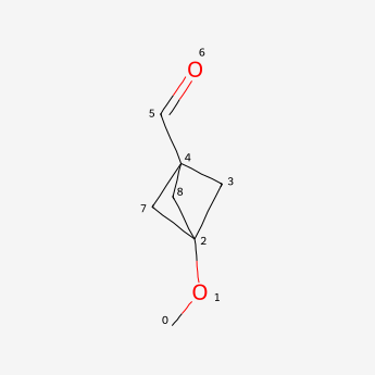 COC12CC(C=O)(C1)C2